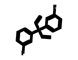 C=C[Si](C=C)(c1cccc(F)c1)c1cccc(F)c1